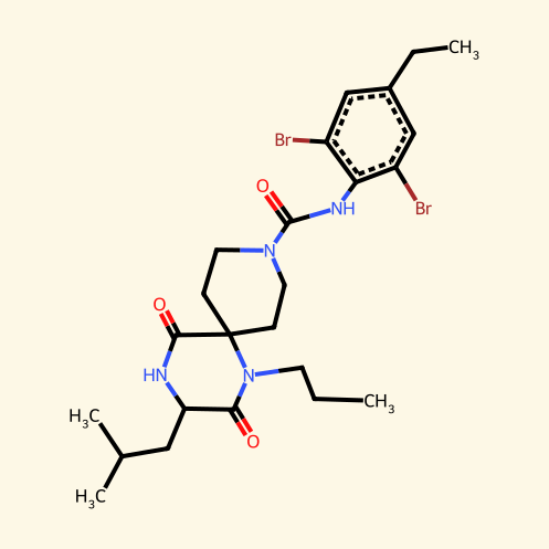 CCCN1C(=O)C(CC(C)C)NC(=O)C12CCN(C(=O)Nc1c(Br)cc(CC)cc1Br)CC2